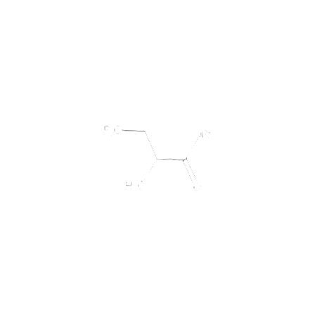 CC(C)C(=O)C(C)CC(F)(F)F